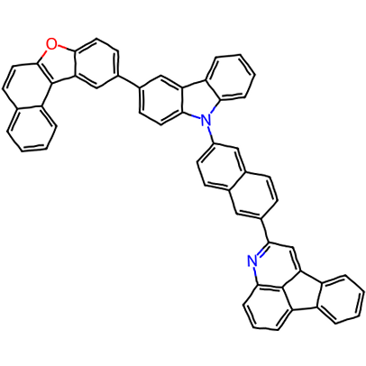 c1ccc2c(c1)-c1cccc3nc(-c4ccc5cc(-n6c7ccccc7c7cc(-c8ccc9oc%10ccc%11ccccc%11c%10c9c8)ccc76)ccc5c4)cc-2c13